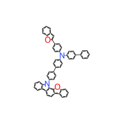 c1ccc(-c2ccc(N(c3ccc(-c4ccc(-n5c6ccccc6c6ccc7c8ccccc8oc7c65)cc4)cc3)c3ccc(-c4cc5ccccc5o4)cc3)cc2)cc1